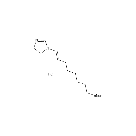 CCCCCCCCCCCCCCCC=CN1C=NCC1.Cl